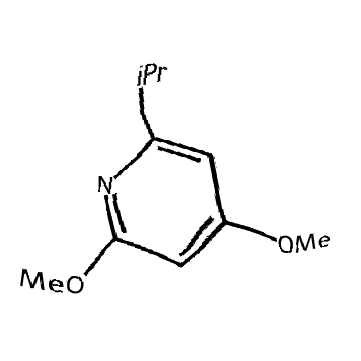 COc1cc(OC)nc(C(C)C)c1